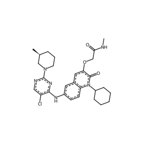 CNC(=O)COc1cc2cc(Nc3nc(N4CCC[C@H](C)C4)ncc3Cl)ccc2n(C2CCCCC2)c1=O